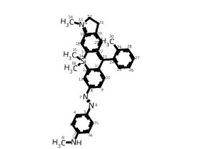 CNc1ccc(/N=N/c2ccc3c(c2)[Si](C)(C)c2cc4c(cc2=C3c2ccccc2C)CC[N+]=4C)cc1